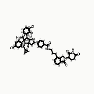 O=C1CCC(N2Cc3c(CCCNC(=O)c4ccc([C@H]5C[C@H]6[C@@H](N5)[C@H](c5cccc(Cl)c5F)[C@]5(C(=O)Nc7cc(Cl)ccc75)N6CC5CC5)cc4)cccc3C2=O)C(=O)N1